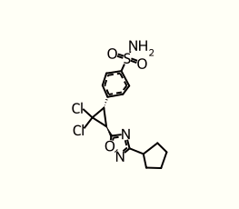 NS(=O)(=O)c1ccc([C@@H]2[C@@H](c3nc(C4CCCC4)no3)C2(Cl)Cl)cc1